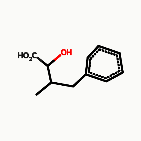 CC(Cc1ccccc1)C(O)C(=O)O